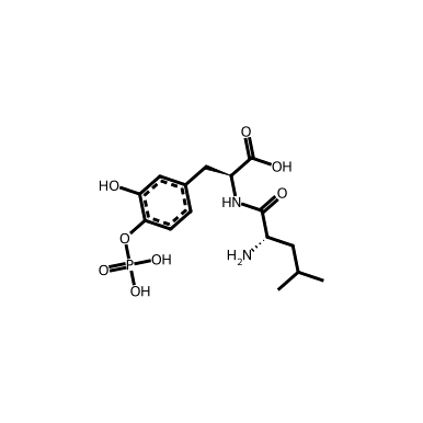 CC(C)C[C@H](N)C(=O)N[C@@H](Cc1ccc(OP(=O)(O)O)c(O)c1)C(=O)O